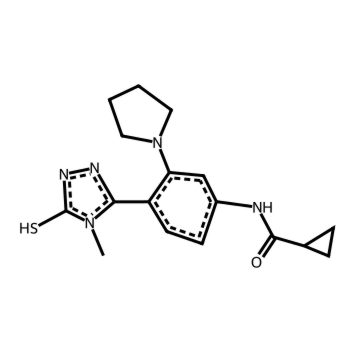 Cn1c(S)nnc1-c1ccc(NC(=O)C2CC2)cc1N1CCCC1